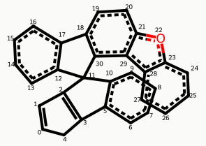 C1=CC2=C(C1)c1ccccc1C21c2ccccc2-c2ccc3oc4ccccc4c3c21